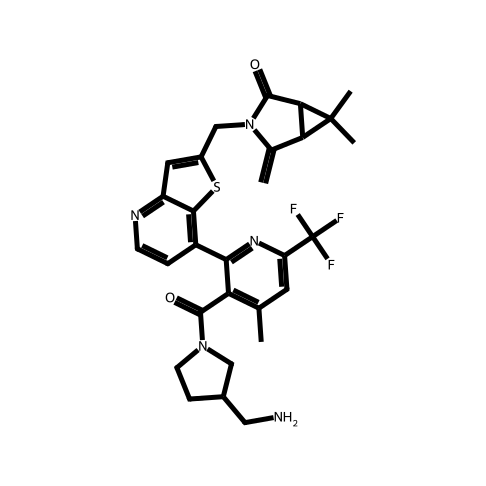 C=C1C2C(C(=O)N1Cc1cc3nccc(-c4nc(C(F)(F)F)cc(C)c4C(=O)N4CCC(CN)C4)c3s1)C2(C)C